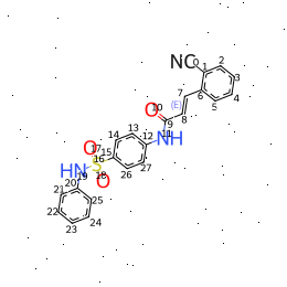 N#Cc1ccccc1/C=C/C(=O)Nc1ccc(S(=O)(=O)Nc2ccccc2)cc1